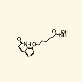 O=C(CCCCCOc1cccc2ccc(=O)[nH]c12)NO